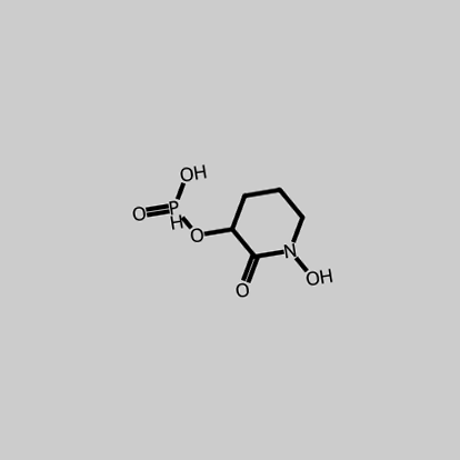 O=C1C(O[PH](=O)O)CCCN1O